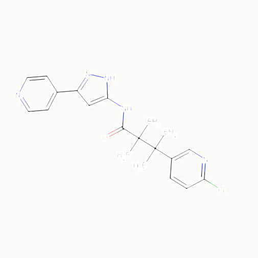 BC(B)(C(=O)Nc1cc(-c2ccncc2)n[nH]1)C(B)(B)c1ccc(Cl)nc1